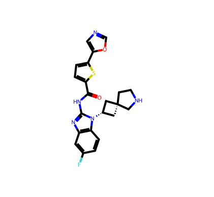 O=C(Nc1nc2cc(F)ccc2n1[C@H]1C[C@@]2(CCNC2)C1)c1ccc(-c2cnco2)s1